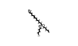 CCCCCOC(CCCCC/C=C/CCCBr)OCCCCC